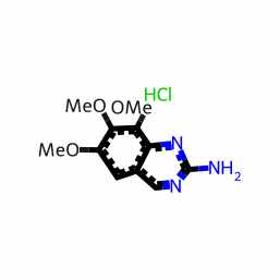 COc1cc2cnc(N)nc2c(OC)c1OC.Cl